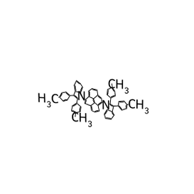 Cc1ccc(-c2c(-c3ccc(C)cc3)n(-c3cc4cccc5c(-n6c(-c7ccc(C)cc7)c(-c7ccc(C)cc7)c7ccccc76)cc6cccc3c6c45)c3ccccc23)cc1